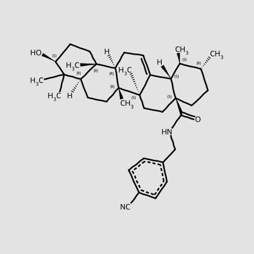 C[C@H]1[C@H](C)CC[C@]2(C(=O)NCc3ccc(C#N)cc3)CC[C@]3(C)C(=CC[C@@H]4[C@@]5(C)CC[C@H](O)C(C)(C)[C@@H]5CC[C@]43C)[C@H]12